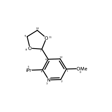 COc1cnc(C(C)C)c(C2OCCO2)c1